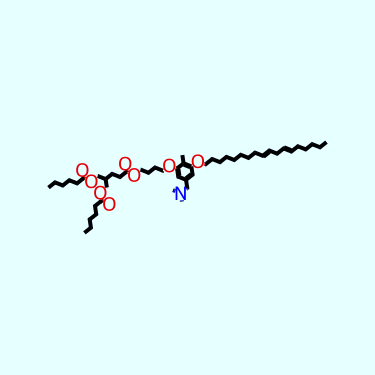 CCCCCC=CCC=CCCCCCCCCOc1cc(CN(C)C)cc(OCCCCOC(=O)CCC(COC(=O)CCCCC)COC(=O)CCCCC)c1C